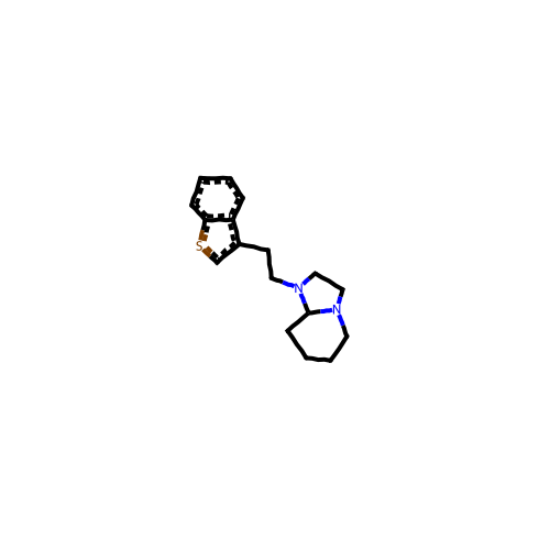 c1ccc2c(CCN3CCN4CCCCC43)csc2c1